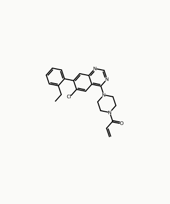 C=CC(=O)N1CCN(c2ncnc3cc(-c4ccccc4CC)c(Cl)cc23)CC1